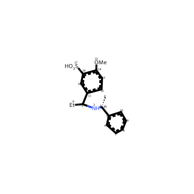 CCC(N[C@H](C)c1ccccc1)c1ccc(OC)c(S(=O)(=O)O)c1